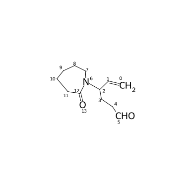 C=CC(CCC=O)N1CCCCCC1=O